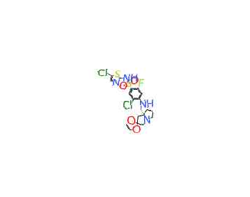 O=S(=O)(Nc1ncc(Cl)s1)c1cc(Cl)c(NC[C@]23CCCN2CC2(C3)OCCO2)cc1F